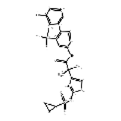 CC(C)(C(=O)Nc1ccc(-c2cncc(Cl)c2)c(C(F)(F)F)c1)c1csc(NS(=O)(=O)C2CC2)n1